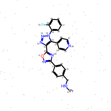 CC(C)NCc1ccc(-c2noc(-c3nnn(-c4ccccc4F)c3-c3ccncc3)n2)cc1